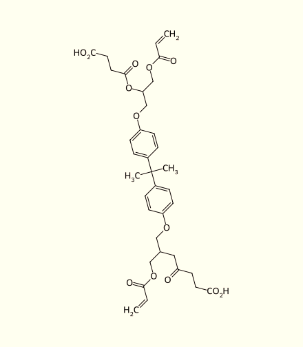 C=CC(=O)OCC(COc1ccc(C(C)(C)c2ccc(OCC(COC(=O)C=C)OC(=O)CCC(=O)O)cc2)cc1)CC(=O)CCC(=O)O